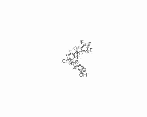 O=C(Nc1cc(F)c(F)c(F)c1)c1ccc(Cl)c(S(=O)(=O)C[C@H]2CC3CC2[C@@H](O)O3)c1